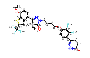 COc1ccc(C2=NN(CCCCOc3ccc(C4=NNC(=O)CC4)c(F)c3F)C(=O)C2(C)C)c2cc(C(F)(F)F)sc12